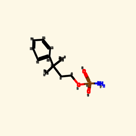 [2H]C([2H])(CCOS(N)(=O)=O)c1ccccc1